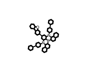 c1ccc(-c2ccc(N3c4cc(-c5ccc6c(c5)oc5ccccc56)cc5c4B(c4ccc6ccccc6c43)c3ccc4ccccc4c3N5c3ccc(-c4ccccc4)cc3)cc2)cc1